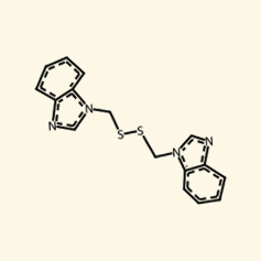 c1ccc2c(c1)ncn2CSSCn1cnc2ccccc21